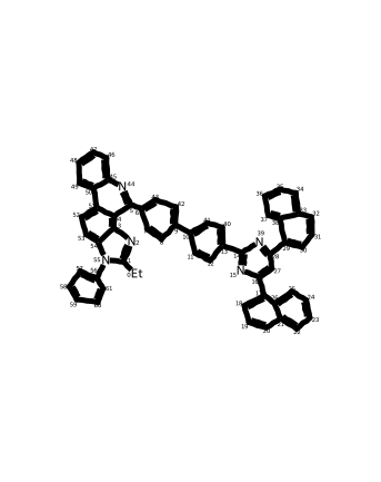 CCc1nc2c3c(-c4ccc(-c5ccc(-c6nc(-c7cccc8ccccc78)cc(-c7cccc8ccccc78)n6)cc5)cc4)nc4ccccc4c3ccc2n1-c1ccccc1